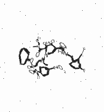 CCOCN(C)C(=O)c1c(O)c(=O)c(C(=O)NCc2ccc(F)cc2F)cn1N(C)CCP(=O)(Oc1ccccc1)S(=O)(=O)c1ccc([N+](=O)[O-])cc1